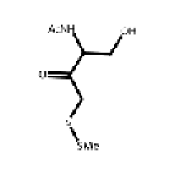 CSSCC(=O)C(CO)NC(C)=O